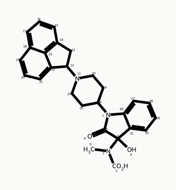 CN(C(=O)O)C1(O)C(=O)N(C2CCN(C3Cc4cccc5cccc3c45)CC2)c2ccccc21